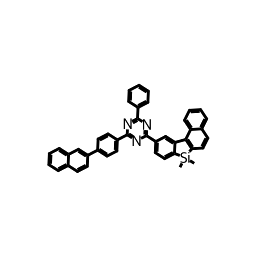 C[Si]1(C)c2ccc(-c3nc(-c4ccccc4)nc(-c4ccc(-c5ccc6ccccc6c5)cc4)n3)cc2-c2c1ccc1ccccc21